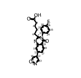 O=C(O)CCCCc1nc2cc(-c3cnoc3)ccc2c(=O)n1-c1ccc(F)cc1